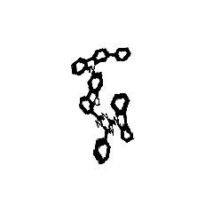 c1ccc(-c2ccc3c4ccccc4n(-c4ccc5oc6c(-c7nc(-c8ccccc8)nc(-n8c9ccccc9c9ccccc98)n7)cccc6c5c4)c3c2)cc1